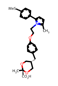 CSc1ccc(-c2ccc(C)n2CCOc2ccc(C[C@H]3CO[C@](C)(C(=O)O)OC3)cc2)cc1